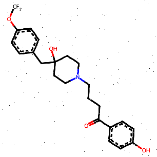 O=C(CCCN1CCC(O)(Cc2ccc(OC(F)(F)F)cc2)CC1)c1ccc(O)cc1